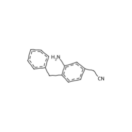 N#CCc1ccc(Cc2ccccc2)c(N)c1